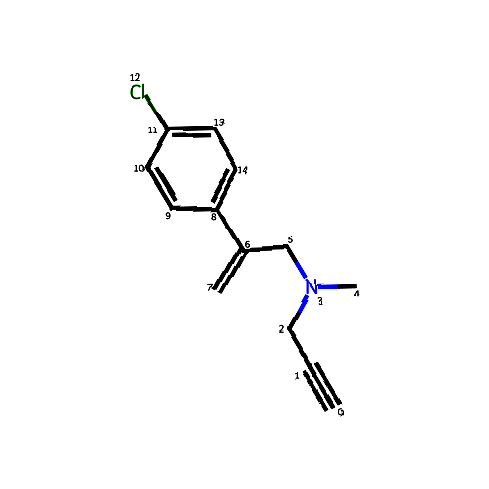 C#CCN(C)CC(=C)c1ccc(Cl)cc1